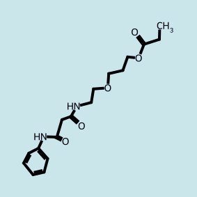 CCC(=O)OCCCOCCNC(=O)CC(=O)Nc1ccccc1